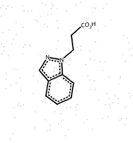 O=C(O)CCn1ncc2ccccc21